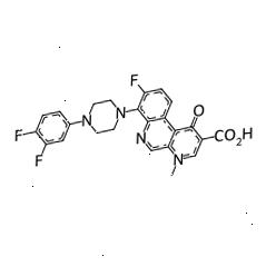 Cn1cc(C(=O)O)c(=O)c2c3ccc(F)c(N4CCN(c5ccc(F)c(F)c5)CC4)c3ncc21